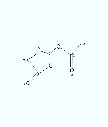 CC(=O)OC1CCC(=O)C1